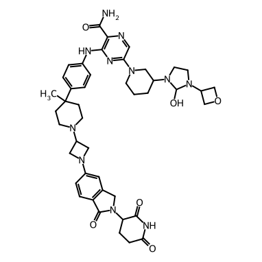 CC1(c2ccc(Nc3nc(N4CCCC(N5CCN(C6COC6)C5O)C4)cnc3C(N)=O)cc2)CCN(C2CN(c3ccc4c(c3)CN(C3CCC(=O)NC3=O)C4=O)C2)CC1